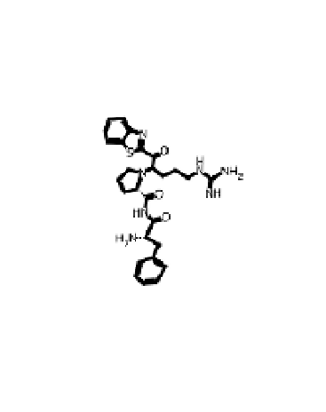 N=C(N)NCCCC(C(=O)c1nc2ccccc2s1)N1CCC[C@H]1C(=O)NC(=O)[C@@H](N)Cc1ccccc1